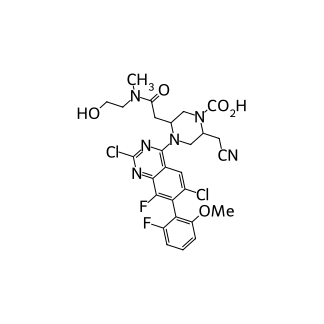 COc1cccc(F)c1-c1c(Cl)cc2c(N3CC(CC#N)N(C(=O)O)CC3CC(=O)N(C)CCO)nc(Cl)nc2c1F